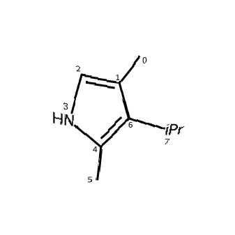 Cc1c[nH]c(C)c1C(C)C